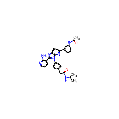 CC(=O)Nc1cccc(-c2ccc3nc(-c4cccnc4N)n(-c4ccc(CC(=O)NC(C)C)cc4)c3n2)c1